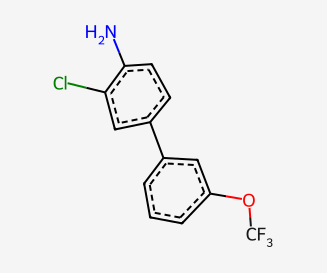 Nc1ccc(-c2cccc(OC(F)(F)F)c2)cc1Cl